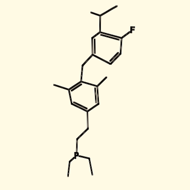 CCP(CC)CCc1cc(C)c(Cc2ccc(F)c(C(C)C)c2)c(C)c1